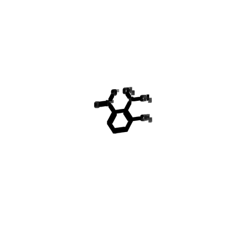 Cc1cccc([N+](=O)[O-])c1P(C)C